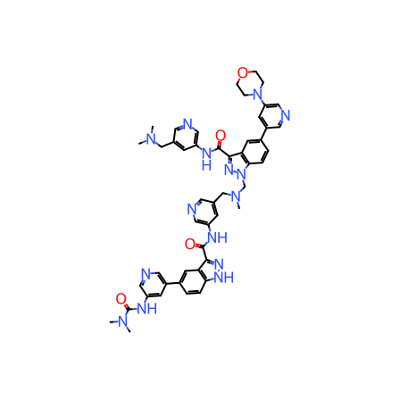 CN(C)Cc1cncc(NC(=O)c2nn(CN(C)Cc3cncc(NC(=O)c4n[nH]c5ccc(-c6cncc(NC(=O)N(C)C)c6)cc45)c3)c3ccc(-c4cncc(N5CCOCC5)c4)cc23)c1